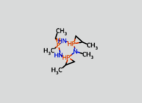 CC[PH]1(C)N[PH]2(CC2C)N(C)[PH]2(CC2C)N1